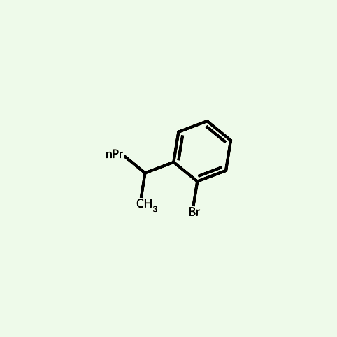 CCCC(C)c1ccccc1Br